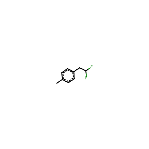 Cc1ccc(CC(F)F)cc1